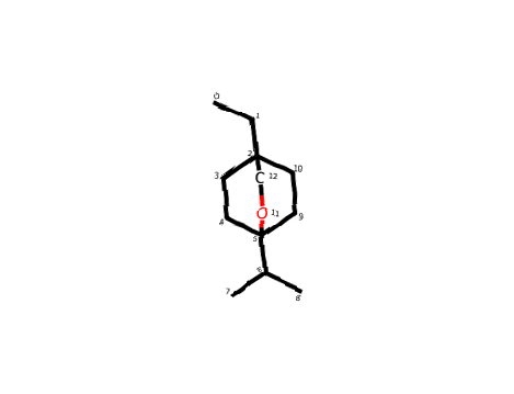 CCC12CCC(C(C)C)(CC1)OC2